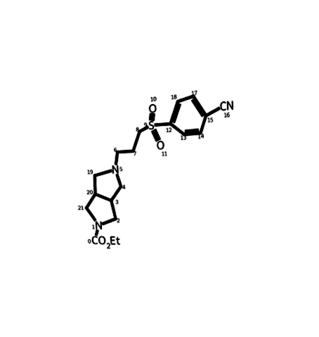 CCOC(=O)N1CC2CN(CCCS(=O)(=O)c3ccc(C#N)cc3)CC2C1